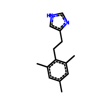 Cc1cc(C)c(CCc2c[nH]cn2)c(C)c1